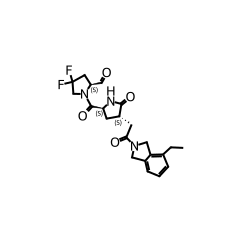 CCc1cccc2c1CN(C(=O)C[C@@H]1C[C@@H](C(=O)N3CC(F)(F)C[C@H]3C=O)NC1=O)C2